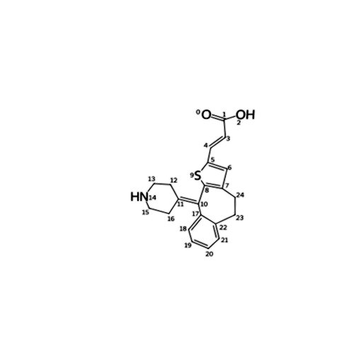 O=C(O)/C=C/c1cc2c(s1)C(=C1CCNCC1)c1ccccc1CC2